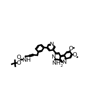 COc1cc2ncc3c(N)nc(-c4cncc(-c5cccc(CC#CCNC(=O)OC(C)(C)C)c5)c4)cc3c2cc1OC